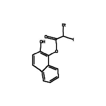 CCC(I)C(=O)Oc1c(O)ccc2ccccc12